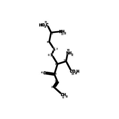 CC=CC(=O)C(SSCC(N)C(=O)O)C(N)C(=O)O